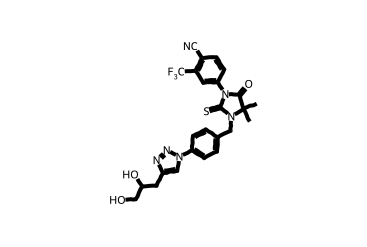 CC1(C)C(=O)N(c2ccc(C#N)c(C(F)(F)F)c2)C(=S)N1Cc1ccc(-n2cc(CC(O)CO)nn2)cc1